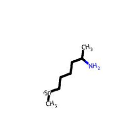 [CH3][Sn][CH2]CCCC(C)N